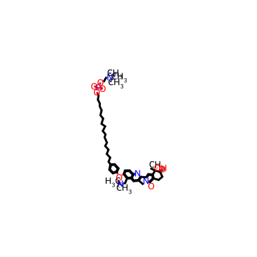 CC[C@@]1(O)C(=O)CCc2c1cc1n(c2=O)Cc2cc3c(CN(C)C)c(Oc4ccc(CCCCCCCCCCCCCCCCCCOP(=O)([O-])OCC[N+](C)(C)C)cc4)ccc3nc2-1